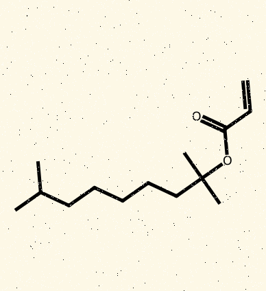 C=CC(=O)OC(C)(C)CCCCCC(C)C